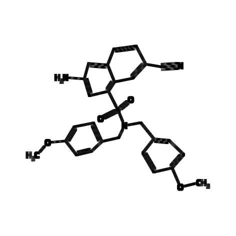 COc1ccc(CN(Cc2ccc(OC)cc2)S(=O)(=O)c2cc(N)cc3ccc(C#N)cc23)cc1